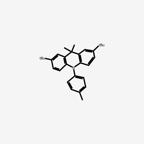 Cc1ccc(N2c3ccc(C(C)(C)C)cc3C(C)(C)c3cc(C(C)(C)C)ccc32)cc1